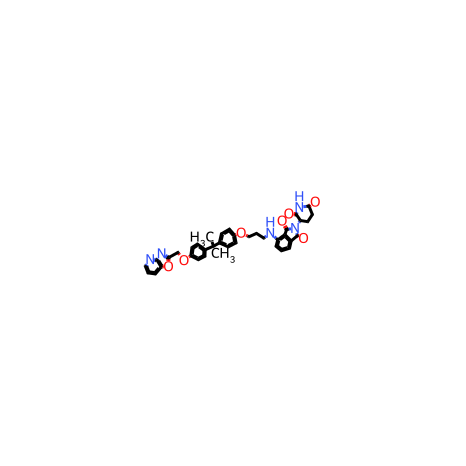 CC(C)(c1ccc(OCCCNc2cccc3c2C(=O)N(C2CCC(=O)NC2=O)C3=O)cc1)c1ccc(OCc2nc3ncccc3o2)cc1